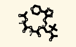 CC(=O)O[C@@H](C)C(=O)O[C@@H](C)C(=O)O[C@H](COc1nsnc1N1CCOCC1)CN(C(C)=O)C(C)(C)C